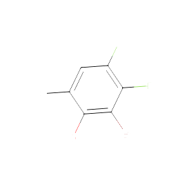 Cc1cc(F)c(F)c(Br)c1O